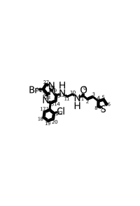 O=C(/C=C/c1ccsc1)NCCNc1cc(-c2ccccc2Cl)nc2c(Br)cnn12